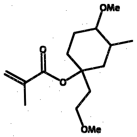 C=C(C)C(=O)OC1(CCOC)CCC(OC)C(C)C1